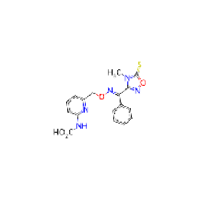 Cn1c(C(=NOCc2cccc(NC(=O)O)n2)c2ccccc2)noc1=S